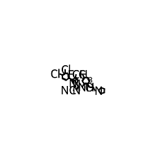 CC1CN(/C(=N\C#N)Nc2cc(C(F)(F)F)ccc2OCCN2CCCC2)N=C1c1ccc(Cl)c(Cl)c1